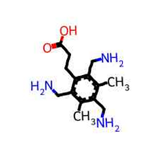 Cc1c(CN)c(C)c(CN)c(CCC(=O)O)c1CN